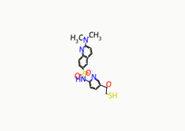 CN(C)c1ccc2cc(S(=O)(=O)Nc3ccc(C(=O)CS)cn3)ccc2n1